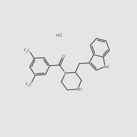 Cl.O=C(c1cc(C(F)(F)F)cc(C(F)(F)F)c1)N1CCNCC1Cc1c[nH]c2ccccc12